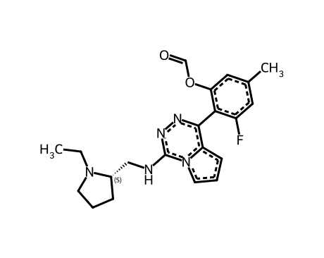 CCN1CCC[C@H]1CNc1nnc(-c2c(F)cc(C)cc2OC=O)c2cccn12